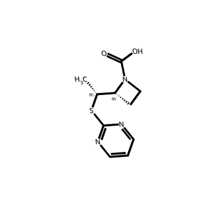 C[C@@H](Sc1ncccn1)[C@H]1CCN1C(=O)O